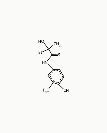 CCC(C)(O)C(=S)Nc1ccc(C#N)c(C(F)(F)F)c1